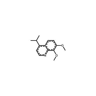 COc1ccc2c(C(C)C)ccnc2c1OC